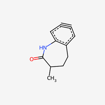 CC1CCc2cc#ccc2NC1=O